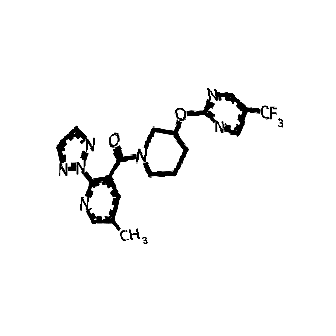 Cc1cnc(-n2nccn2)c(C(=O)N2CCCC(Oc3ncc(C(F)(F)F)cn3)C2)c1